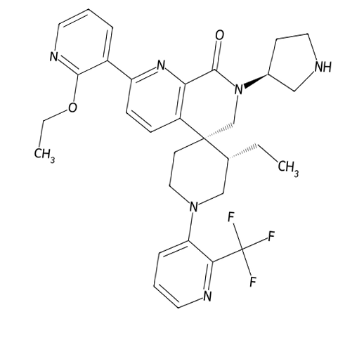 CCOc1ncccc1-c1ccc2c(n1)C(=O)N([C@H]1CCNC1)C[C@]21CCN(c2cccnc2C(F)(F)F)C[C@H]1CC